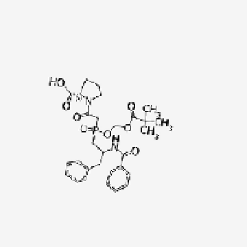 CC(C)(C)C(=O)OCOP(=O)(CC(=O)N1CCC[C@H]1C(=O)O)CC(Cc1ccccc1)NC(=O)c1ccccc1